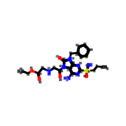 CCCS(=N)(=O)c1nc(N)c2c(n1)n(Cc1ccccc1)c(=O)n2C(=O)CNCC(=O)OCC